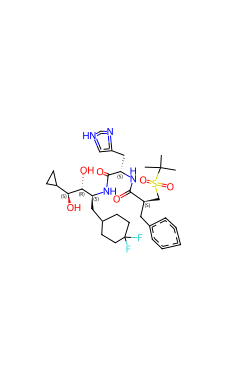 CC(C)(C)S(=O)(=O)C[C@@H](Cc1ccccc1)C(=O)N[C@@H](Cc1c[nH]cn1)C(=O)N[C@@H](CC1CCC(F)(F)CC1)[C@@H](O)[C@@H](O)C1CC1